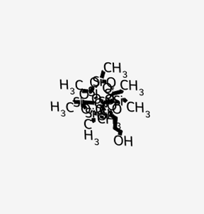 CC[Si]12O[Si]3(CC)O[Si]4(CC)O[Si](CC)(O1)O[Si]1(CC)O[Si](CC)(O2)O[Si](CC)(O3)O[Si](CCCO)(O4)O1